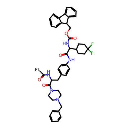 CCC(=O)NC(Cc1ccc(NC(=O)C(NC(=O)OCC2c3ccccc3-c3ccccc32)C2CCC(F)(F)CC2)cc1)C(=O)N1CCN(Cc2ccccc2)CC1